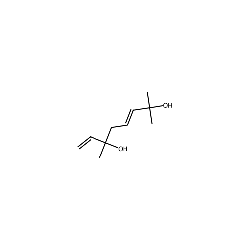 C=CC(C)(O)CC=CC(C)(C)O